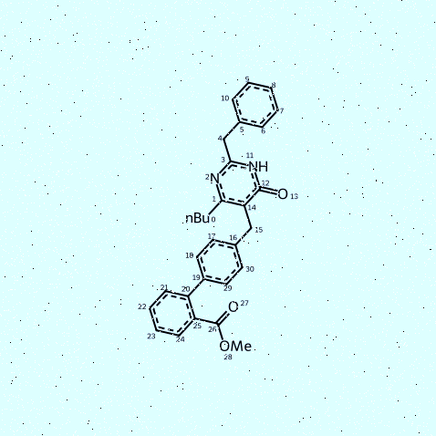 CCCCc1nc(Cc2ccccc2)[nH]c(=O)c1Cc1ccc(-c2ccccc2C(=O)OC)cc1